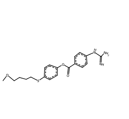 COCCCCSc1ccc(OC(=O)c2ccc(NC(=N)N)cc2)cc1